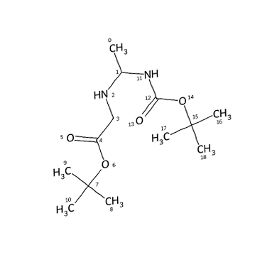 CC(NCC(=O)OC(C)(C)C)NC(=O)OC(C)(C)C